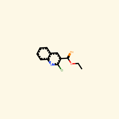 CCOC(=P)c1cc2ccccc2nc1Cl